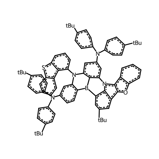 CC(C)(C)c1ccc(N(c2ccc(C(C)(C)C)cc2)c2ccc3c(c2)N(c2cccc4sc5ccccc5c24)c2cc(N(c4ccc(C(C)(C)C)cc4)c4ccc(C(C)(C)C)cc4)cc4c2B3c2cc(C(C)(C)C)cc3c5oc6ccccc6c5n-4c23)cc1